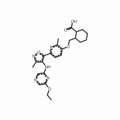 CCOc1cncc(Nc2c(C)noc2-c2ccc(OCC3CCCCC3C(=O)O)c(C)n2)n1